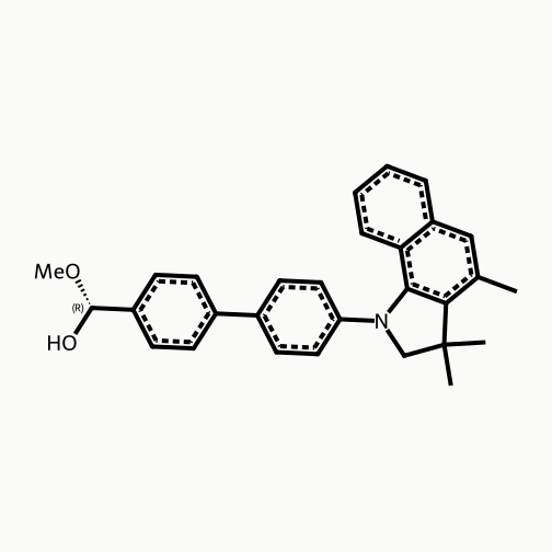 CO[C@@H](O)c1ccc(-c2ccc(N3CC(C)(C)c4c(C)cc5ccccc5c43)cc2)cc1